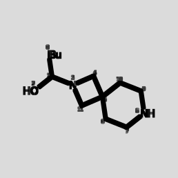 CCC(C)C(O)N1CC2(CCNCC2)C1